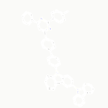 Cc1ccc(-c2nc(-c3ccccc3)cc(-c3ccc(-c4ccc(-n5c6ccccc6c6cc(-n7c8ccccc8c8ccccc87)ccc65)cc4)cc3)n2)cc1